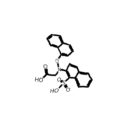 O=C(O)CN(Oc1cccc2ccccc12)c1ccc2ccccc2c1S(=O)(=O)O